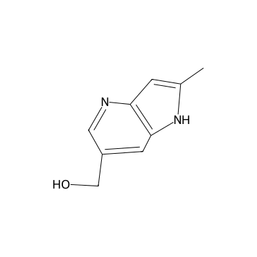 Cc1cc2ncc(CO)cc2[nH]1